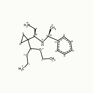 CCOC(OCC)C1([C@@H](CN)N[C@@H](C)c2ccccc2)CC1